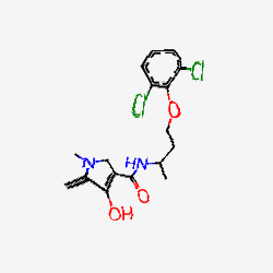 C=C1C(O)=C(C(=O)NC(C)CCOc2c(Cl)cccc2Cl)CN1C